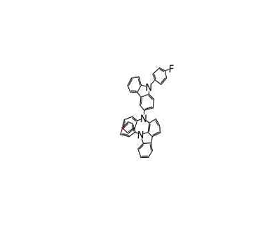 Fc1ccc(-n2c3ccccc3c3cc(N(c4ccccc4)c4cccc5c6ccccc6n(-c6ccccc6)c45)ccc32)cc1